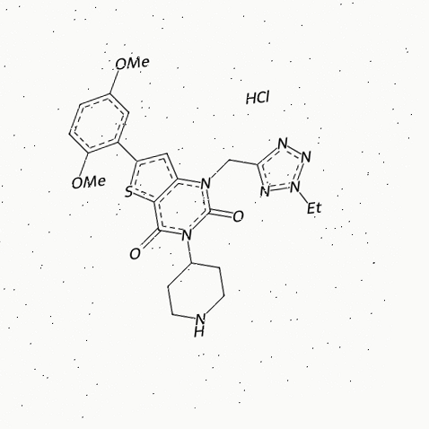 CCn1nnc(Cn2c(=O)n(C3CCNCC3)c(=O)c3sc(-c4cc(OC)ccc4OC)cc32)n1.Cl